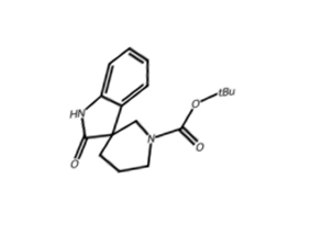 CC(C)(C)OC(=O)N1CCCC2(C1)C(=O)Nc1ccccc12